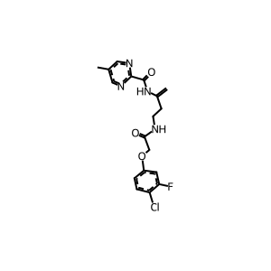 C=C(CCNC(=O)COc1ccc(Cl)c(F)c1)NC(=O)c1ncc(C)cn1